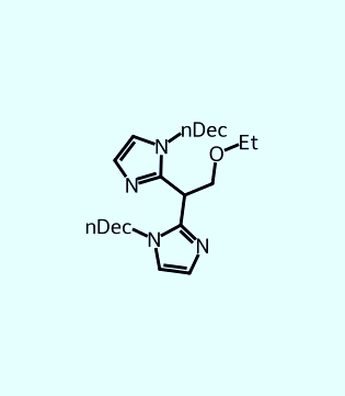 [CH2]COCC(c1nccn1CCCCCCCCCC)c1nccn1CCCCCCCCCC